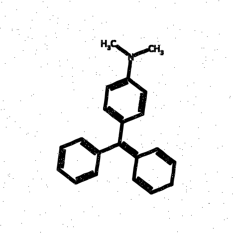 CN(C)c1ccc(C(=C2C=CCC=C2)c2ccccc2)cc1